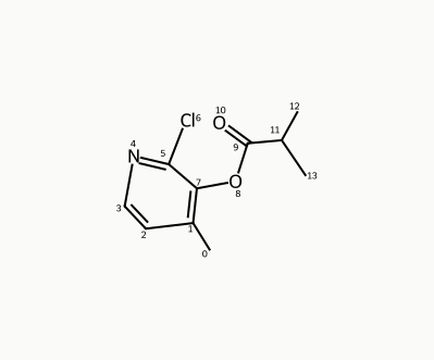 Cc1ccnc(Cl)c1OC(=O)C(C)C